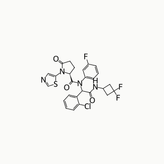 O=C(NC1CC(F)(F)C1)C(c1ccccc1Cl)N(C(=O)[C@@H]1CCC(=O)N1c1cncs1)c1cccc(F)c1